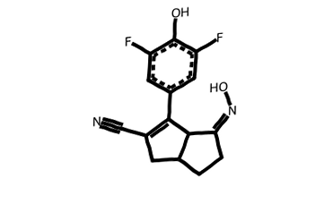 N#CC1=C(c2cc(F)c(O)c(F)c2)C2/C(=N\O)CCC2C1